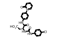 O=C(O)C[C@H](NC(=O)Nc1ccc(Cl)cc1)C(=O)Nc1ccc(-n2ccccc2=O)cc1